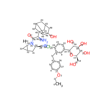 CCOc1ccc(Cc2cc(C3O[C@H](CO)[C@@H](O)[C@H](O)[C@H]3O)ccc2Cl)cc1.N#C[C@H]1CC2C[C@H]2N1C(=O)[C@H](N)C12CC3CC(CC(O)(C3)C1)C2